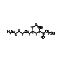 CC(C)(C)OC(=O)C1CC(COCCCN)CCN1